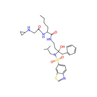 CCCCC(NC(=O)CNC1CC1)C(=O)NCCC(O)(Cc1ccccc1)N(CC(C)C)S(=O)(=O)c1ccc2ncsc2c1